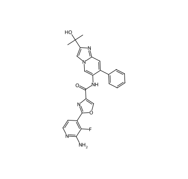 CC(C)(O)c1cn2cc(NC(=O)c3coc(-c4ccnc(N)c4F)n3)c(-c3ccccc3)cc2n1